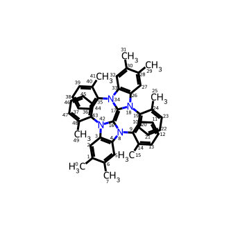 Cc1cc2c(cc1C)N(c1ccccc1C)C(=C1N(c3ccccc3C)c3cc(C)c(C)cc3N1c1ccccc1C)N2c1ccccc1C